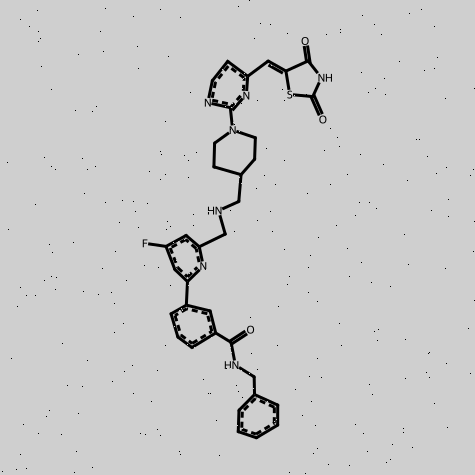 O=C1NC(=O)C(=Cc2ccnc(N3CCC(CNCc4cc(F)cc(-c5cccc(C(=O)NCc6ccccc6)c5)n4)CC3)n2)S1